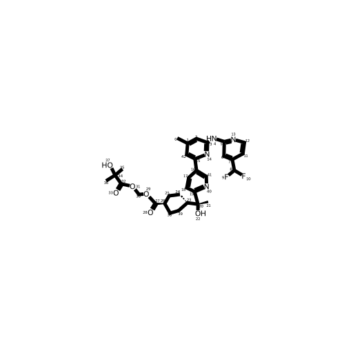 Cc1cc(Nc2cc(C(F)F)ccn2)nc(-c2ccc([C@](C)(O)[C@H]3CC[C@H](C(=O)OCOC(=O)C(C)(C)O)CC3)nc2)c1